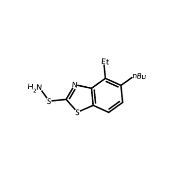 CCCCc1ccc2sc(SN)nc2c1CC